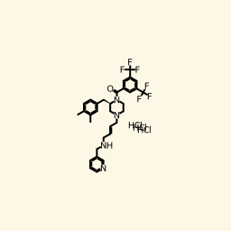 Cc1ccc(C[C@@H]2CN(C/C=C/CNCc3cccnc3)CCN2C(=O)c2cc(C(F)(F)F)cc(C(F)(F)F)c2)cc1C.Cl.Cl.Cl